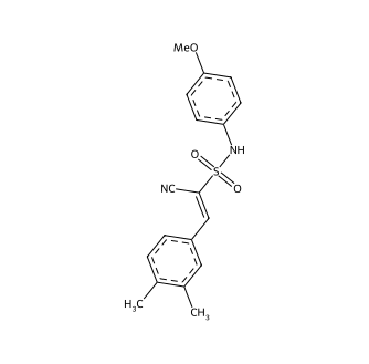 COc1ccc(NS(=O)(=O)C(C#N)=Cc2ccc(C)c(C)c2)cc1